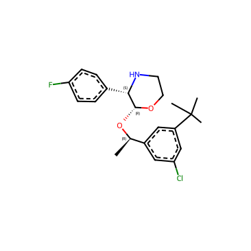 C[C@@H](O[C@H]1OCCN[C@H]1c1ccc(F)cc1)c1cc(Cl)cc(C(C)(C)C)c1